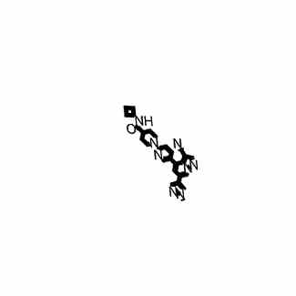 Cn1cc(-c2cc(-c3ccc(N4CCC(C(=O)NC5CCC5)CC4)nc3)c3c(C#N)cnn3c2)cn1